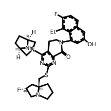 CCc1c(F)ccc2cc(O)cc(N3CCc4c(nc(SC[C@@]56CCCN5C[C@H](F)C6)nc4N4C[C@H]5CC[C@@H](C4)N5)C3=O)c12